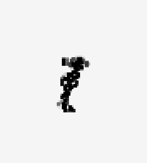 CC(C)(C)OC(=O)N1CCC(N2CCC(NC(=O)c3ccc(B4OC(C)(C)C(C)(C)O4)cc3Cl)CC2)CC1